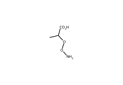 CC(OON)C(=O)O